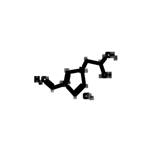 C=C[n+]1ccn(CC(C)O)c1.[Cl-]